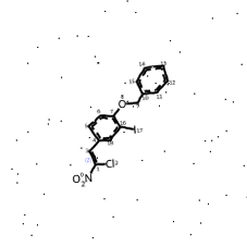 O=[N+]([O-])/C(Cl)=C/c1ccc(OCc2ccccc2)c(I)c1